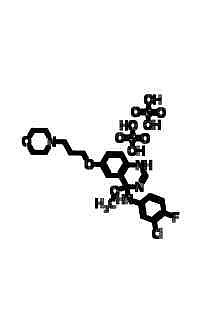 COC1(Nc2ccc(F)c(Cl)c2)N=CNc2ccc(OCCCN3CCOCC3)cc21.O=S(=O)(O)O.O=S(=O)(O)O